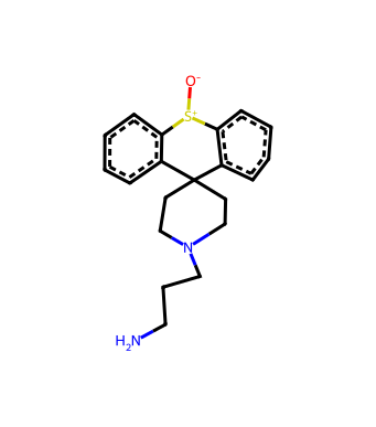 NCCCN1CCC2(CC1)c1ccccc1[S+]([O-])c1ccccc12